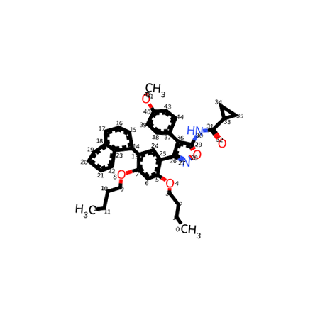 CCCCOc1cc(OCCCC)c(-c2cccc3ccccc23)cc1-c1noc(NC(=O)C2CC2)c1-c1ccc(OC)cc1